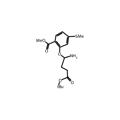 COC(=O)c1ccc(SC)cc1OC(N)CCC(=O)OC(C)(C)C